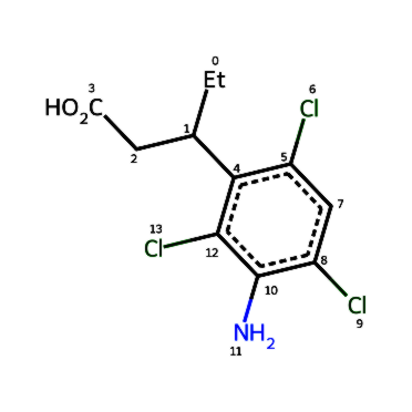 CCC(CC(=O)O)c1c(Cl)cc(Cl)c(N)c1Cl